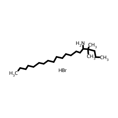 Br.CCCCCCCCCCCCCCCC(N)C(C)(C)CCC